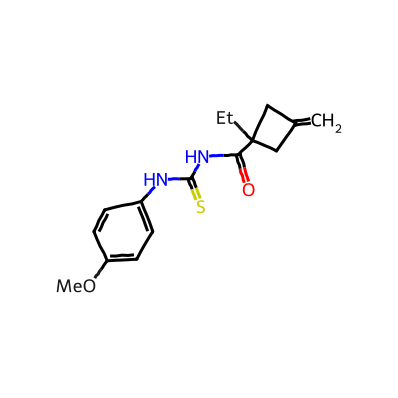 C=C1CC(CC)(C(=O)NC(=S)Nc2ccc(OC)cc2)C1